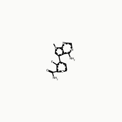 Cn1cc(-c2cccc(C(N)=O)c2F)c2c(N)ncnc21